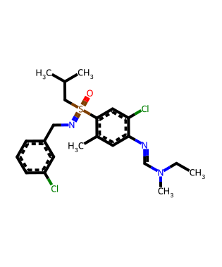 CCN(C)C=Nc1cc(C)c(S(=O)(CC(C)C)=NCc2cccc(Cl)c2)cc1Cl